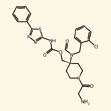 NCC(=O)N1CCC(COC(=O)Nc2nnc(-c3ccccc3)s2)(N(C=O)Cc2ccccc2Cl)CC1